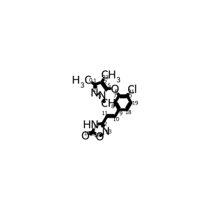 Cc1nn(C)c(Oc2cc(C=Cc3noc(=O)[nH]3)ccc2Cl)c1C